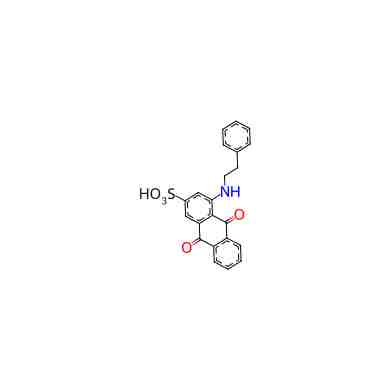 O=C1c2ccccc2C(=O)c2c(NCCc3ccccc3)cc(S(=O)(=O)O)cc21